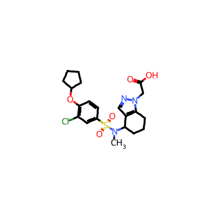 CN(C1CCCc2c1cnn2CC(=O)O)S(=O)(=O)c1ccc(OC2CCCC2)c(Cl)c1